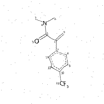 C=C(C(=O)N(C)C)c1ccc(C(F)(F)F)cc1